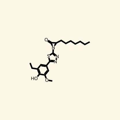 CCCCCCCC1C(=O)N1c1nnc(-c2cc(CC)c(O)c(OC)c2)s1